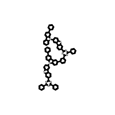 c1ccc(-c2ccc3c(c2)c2cc(-c4cccc(-c5nc(-c6ccccc6)nc(-c6ccc7c(c6)sc6ccc(-n8c9ccccc9c9ccc(-c%10ccccc%10)cc98)cc67)n5)c4)ccc2n3-c2ccc3sc4cc(-c5nc(-c6ccccc6)nc(-c6ccccc6)n5)ccc4c3c2)cc1